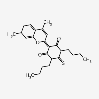 CCCCC1C(=O)C(=C2C=C(C)C3=CCC(C)C=C3O2)C(=O)C(CCCC)C1=S